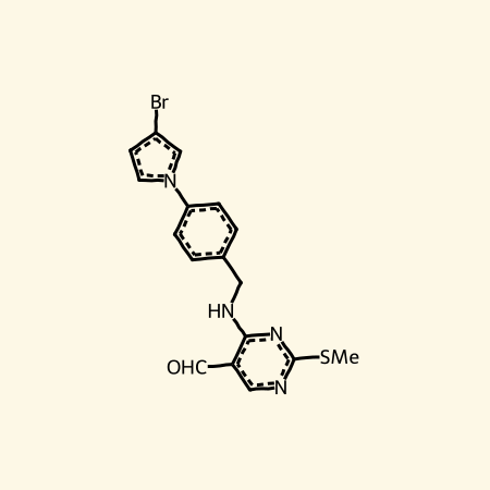 CSc1ncc(C=O)c(NCc2ccc(-n3ccc(Br)c3)cc2)n1